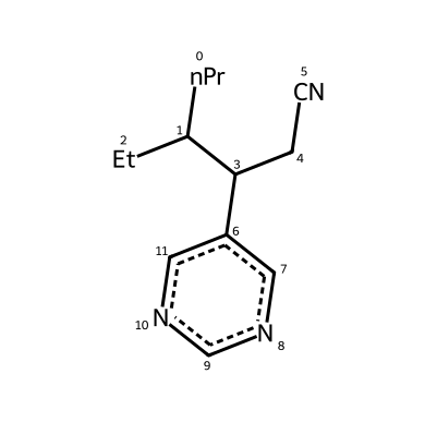 CCCC(CC)C(CC#N)c1cncnc1